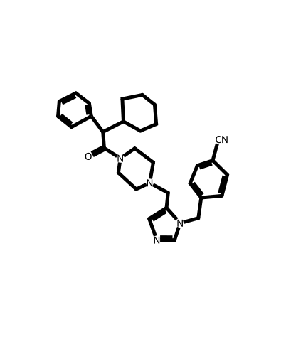 N#Cc1ccc(Cn2cncc2CN2CCN(C(=O)C(c3ccccc3)C3CCCCC3)CC2)cc1